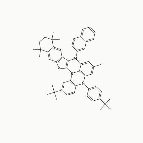 Cc1cc2c3c(c1)N(c1ccc4ccccc4c1)c1c(sc4cc5c(cc14)C(C)(C)CCC5(C)C)B3c1cc(C(C)(C)C)ccc1N2c1ccc(C(C)(C)C)cc1